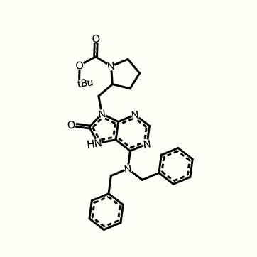 CC(C)(C)OC(=O)N1CCCC1Cn1c(=O)[nH]c2c(N(Cc3ccccc3)Cc3ccccc3)ncnc21